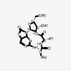 CC(=O)OC[C@H]1O[C@@H](N2C(=O)SC3C=NC(N)=NC32)[C@H](OC(=O)[C@@H](NC(=O)OC(C)(C)C)C(C)C)[C@H]1OC(C)=O